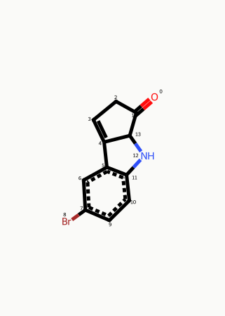 O=C1CC=C2c3cc(Br)ccc3NC12